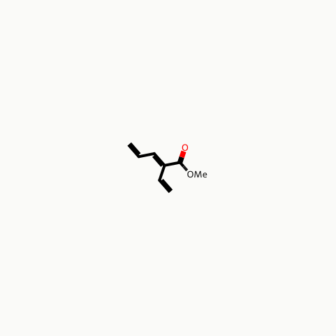 C=C/C=C(\C=C)C(=O)OC